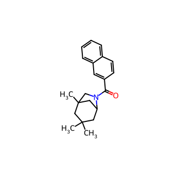 CC1(C)CC2CC(C)(CN2C(=O)c2ccc3ccccc3c2)C1